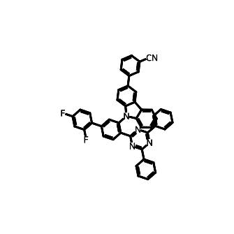 N#Cc1cccc(-c2ccc3c(c2)c2ccccc2n3-c2cc(-c3ccc(F)cc3F)ccc2-c2nc(-c3ccccc3)nc(-c3ccccc3)n2)c1